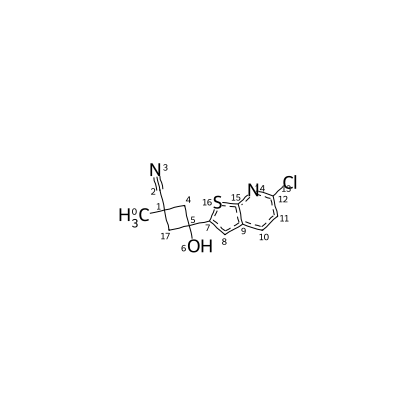 CC1(C#N)CC(O)(c2cc3ccc(Cl)nc3s2)C1